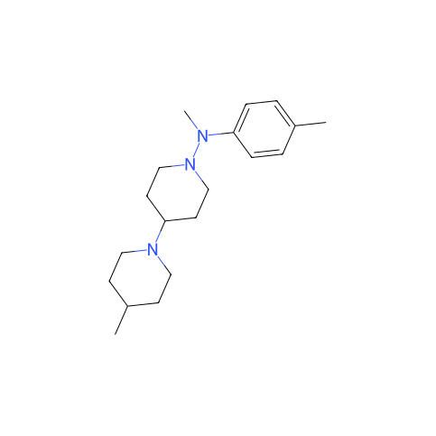 Cc1ccc(N(C)N2CCC(N3CCC(C)CC3)CC2)cc1